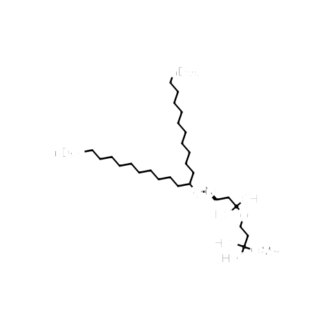 CCCCCCCCCCCCCCCCCCCCC(CCCCCCCCCCCCCCCCCCCC)O/N=C/CC(C)(C)OCCC(C)(C)OC